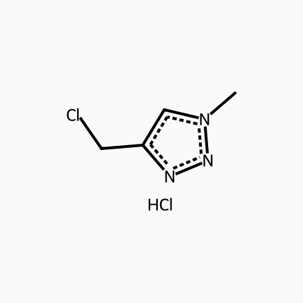 Cl.Cn1cc(CCl)nn1